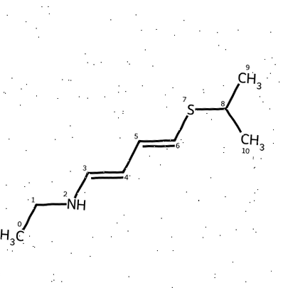 CCN/C=C/C=C/SC(C)C